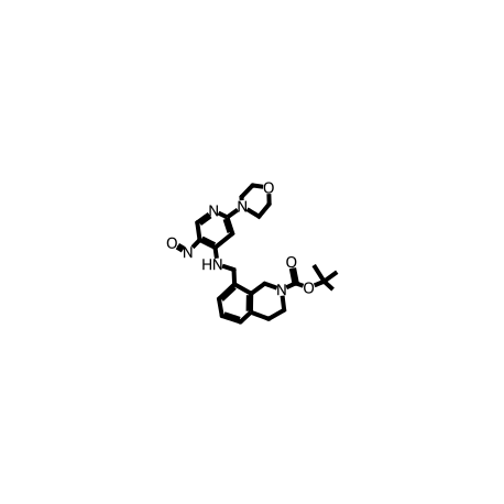 CC(C)(C)OC(=O)N1CCc2cccc(CNc3cc(N4CCOCC4)ncc3N=O)c2C1